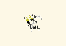 [BaH2].[InH3].[S]=[Zn].[S]=[Zn]